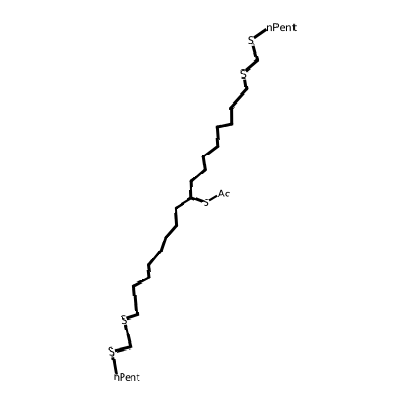 CCCCCSCSCCCCCCCCC(CCCCCCCCSCSCCCCC)SC(C)=O